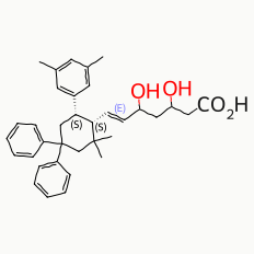 Cc1cc(C)cc([C@H]2CC(c3ccccc3)(c3ccccc3)CC(C)(C)[C@H]2/C=C/C(O)CC(O)CC(=O)O)c1